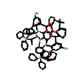 C=CN(c1cc(N2c3ccccc3C(C)(C)c3ccccc32)cc2c1B([C@H](C)C(C)[Si](c1ccccc1)(c1ccccc1)c1ccccc1)c1ccc([Si](c3ccccc3)(c3ccccc3)c3ccccc3)cc1N2c1c(-c2ccccc2)cc(C(C)(C)C)cc1-c1ccccc1)c1c(-c2ccccc2)cc(C(C)(C)C)cc1-c1ccccc1